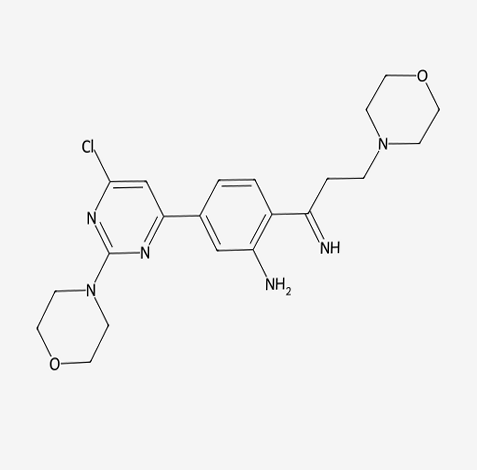 N=C(CCN1CCOCC1)c1ccc(-c2cc(Cl)nc(N3CCOCC3)n2)cc1N